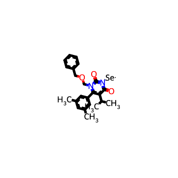 Cc1cc(C)cc(-c2c(C(C)C)c(=O)n([Se])c(=O)n2COCc2ccccc2)c1